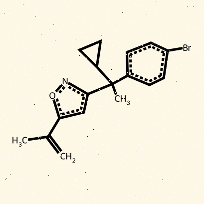 C=C(C)c1cc(C(C)(c2ccc(Br)cc2)C2CC2)no1